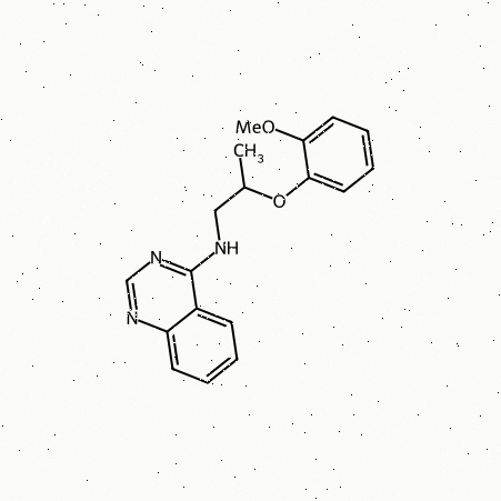 COc1ccccc1OC(C)CNc1ncnc2ccccc12